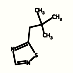 CC(C)(C)Cc1ncns1